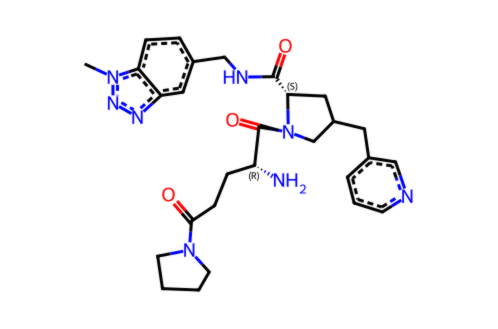 Cn1nnc2cc(CNC(=O)[C@@H]3CC(Cc4cccnc4)CN3C(=O)[C@H](N)CCC(=O)N3CCCC3)ccc21